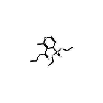 CCOC(=O)C1=C(C)NC=CC1P(=O)(OCC)OCC